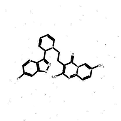 Cc1ccc2nc(C)c(CCN3C=CC=CC3c3noc4cc(F)ccc34)c(=O)n2c1